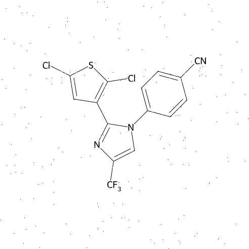 N#Cc1ccc(-n2cc(C(F)(F)F)nc2-c2cc(Cl)sc2Cl)cc1